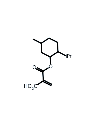 C=C(C(=O)O)C(=O)OC1CC(C)CCC1C(C)C